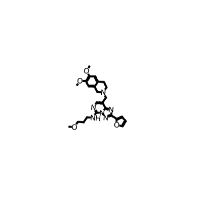 COCCCNc1ncc(CN2CCc3cc(OC)c(OC)cc3C2)c2nc(-c3ccco3)nn12